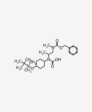 CC(CN(C)C(=O)OCc1ccccc1)N(C(=O)O)C1CCC(O[Si](C)(C)C(C)(C)C)CC1